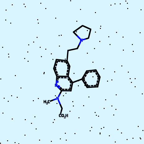 CN(CC(=O)O)c1cc(-c2ccccc2)c2cc(CCN3CCCC3)ccc2n1